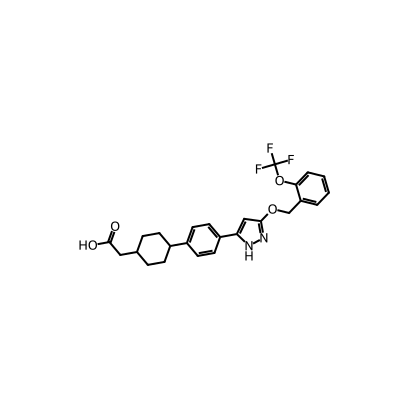 O=C(O)CC1CCC(c2ccc(-c3cc(OCc4ccccc4OC(F)(F)F)n[nH]3)cc2)CC1